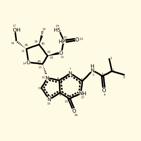 CC(C)C(=O)Nc1nc2c(ncn2[C@@H]2O[C@H](CO)[C@@H](F)[C@H]2O[PH](=O)S)c(=O)[nH]1